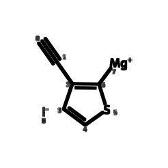 C#Cc1ccs[c]1[Mg+].[I-]